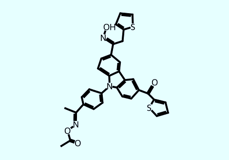 CC(=O)ON=C(C)c1ccc(-n2c3ccc(C(=O)c4cccs4)cc3c3cc(C(Cc4cccs4)=NO)ccc32)cc1